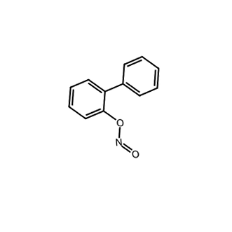 O=NOc1ccccc1-c1ccccc1